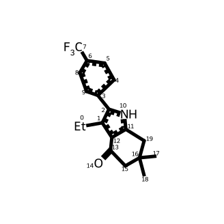 CCc1c(-c2ccc(C(F)(F)F)cc2)[nH]c2c1C(=O)CC(C)(C)C2